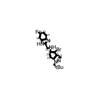 CC(C)(C)Cn1nnc2c(Br)c(NCc3nc4ccc(F)cc4[nH]3)ccc21